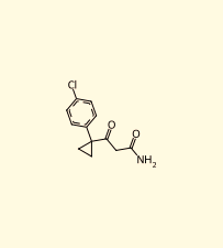 NC(=O)CC(=O)C1(c2ccc(Cl)cc2)CC1